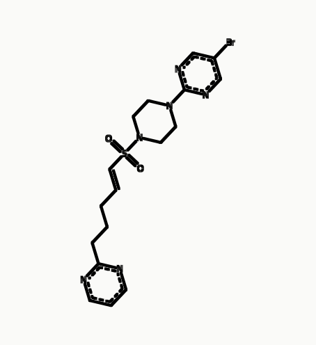 O=S(=O)(/C=C/CCCc1ncccn1)N1CCN(c2ncc(Br)cn2)CC1